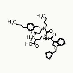 CCCCc1ccc(C[C@@H](CC(N)=O)N(CCCC)C(=O)[C@H](CCCC(=O)O)NC(=O)c2cn(Cc3ccccc3)c3ccccc23)cc1